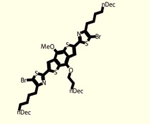 CCCCCCCCCCCCCCc1nc(-c2cc3c(OCCCCCCCCCCCC)c4sc(-c5nc(CCCCCCCCCCCCCC)c(Br)s5)cc4c(OC)c3s2)sc1Br